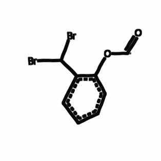 O=[C]Oc1ccccc1C(Br)Br